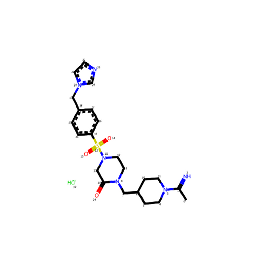 CC(=N)N1CCC(CN2CCN(S(=O)(=O)c3ccc(Cn4ccnc4)cc3)CC2=O)CC1.Cl